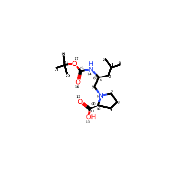 CC(C)C[C@@H](CN1CCC[C@H]1C(=O)O)NC(=O)OC(C)(C)C